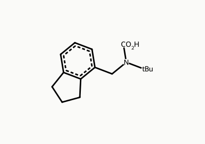 CC(C)(C)N(Cc1cccc2c1CCC2)C(=O)O